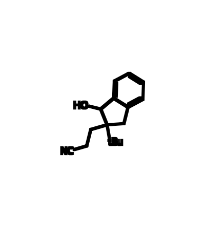 CC(C)(C)C1(CCC#N)Cc2ccccc2C1O